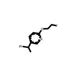 CC(C)C(C)c1ccc(OCCF)nc1